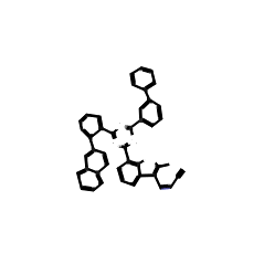 C#C/C=C\c1c(C)oc2c(-c3nc(-c4cccc(-c5ccccc5)c4)nc(-c4ccccc4-c4ccc5ccccc5c4)n3)cccc12